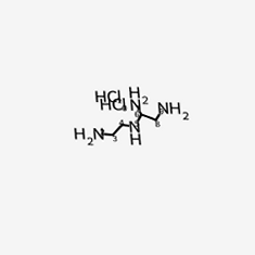 Cl.Cl.NCCNC(N)CN